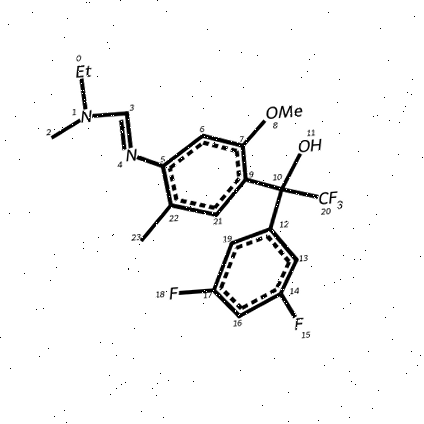 CCN(C)C=Nc1cc(OC)c(C(O)(c2cc(F)cc(F)c2)C(F)(F)F)cc1C